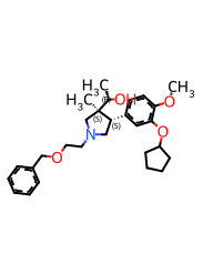 COc1ccc([C@@H]2CN(CCOCc3ccccc3)C[C@@]2(C)[C@@H](C)O)cc1OC1CCCC1